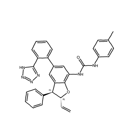 C=C[C@H]1Oc2c(NC(=O)Nc3ccc(C)cc3)cc(-c3ccccc3-c3nnn[nH]3)cc2[C@@H]1c1ccccc1